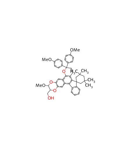 COc1ccc(C2(c3ccc(OC)cc3)C=Cc3c4c(c5cc6c(cc5c3O2)OC(OC)C(CO)O6)-c2ccccc2C42CC(C)(C)CC(C)(C)C2)cc1